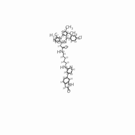 Cc1sc2c(c1C)C(c1ccc(Cl)cc1)=N[C@@H](CC(=O)NCCCCCNc1cc(-c3ccc4c(c3)NC(=O)C4)ccn1)c1nnc(C)n1-2